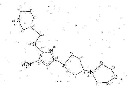 Nc1cn(C2CCC(=[N+]3CCOCC3)CC2)nc1OCC1CCCOC1